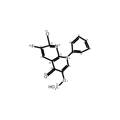 O=C(O)Oc1cn(-c2ccccc2)c2nc(Cl)c(F)cc2c1=O